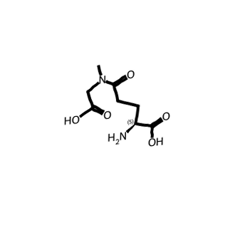 CN(CC(=O)O)C(=O)CC[C@H](N)C(=O)O